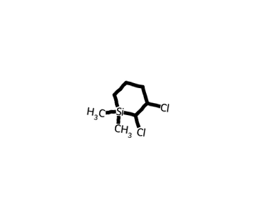 C[Si]1(C)CCCC(Cl)C1Cl